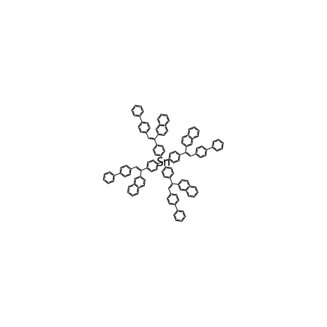 C(=C(c1cc[c]([Sn]([c]2ccc(C(=Cc3ccc(-c4ccccc4)cc3)c3ccc4ccccc4c3)cc2)([c]2ccc(C(=Cc3ccc(-c4ccccc4)cc3)c3ccc4ccccc4c3)cc2)[c]2ccc(C(=Cc3ccc(-c4ccccc4)cc3)c3ccc4ccccc4c3)cc2)cc1)c1ccc2ccccc2c1)c1ccc(-c2ccccc2)cc1